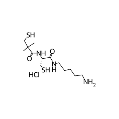 CC(C)(CS)C(=O)N[C@@H](CS)C(=O)NCCCCCN.Cl